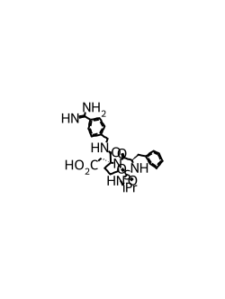 CC(C)NS(=O)(=O)N[C@H](Cc1ccccc1)C(=O)N1CCC[C@@]1(CC(=O)O)C(=O)NCc1ccc(C(=N)N)cc1